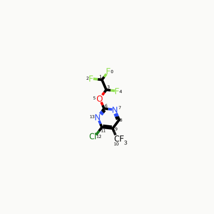 FC(F)C(F)Oc1ncc(C(F)(F)F)c(Cl)n1